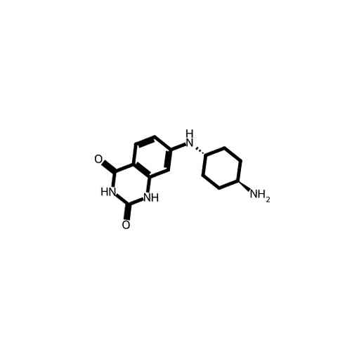 N[C@H]1CC[C@H](Nc2ccc3c(=O)[nH]c(=O)[nH]c3c2)CC1